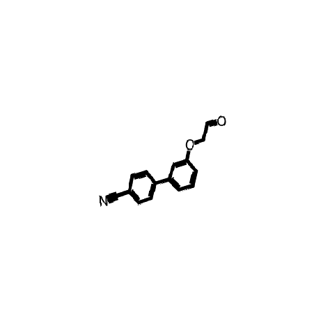 N#Cc1ccc(-c2cccc(OCC=O)c2)cc1